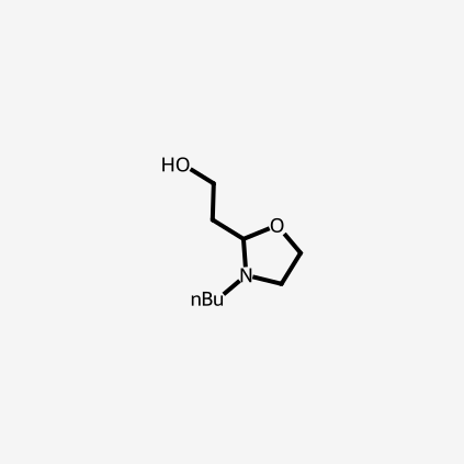 CCCCN1CCOC1CCO